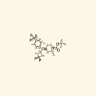 C[C@@H]1CN(C(=O)OC(C)(C)C)[C@@H](C)CN1C(c1ccc(C(F)(F)F)cc1)C1CC(F)(F)C1